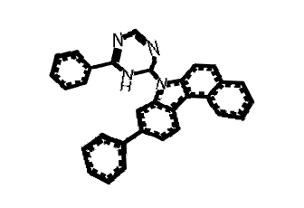 C1=NC(n2c3cc(-c4ccccc4)ccc3c3c4ccccc4ccc32)NC(c2ccccc2)=N1